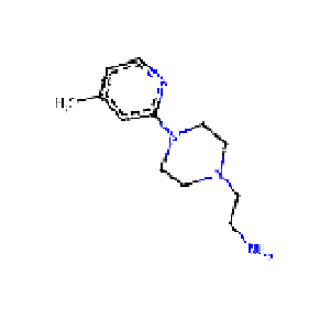 Cc1ccnc(N2CCN(CCN)CC2)c1